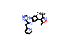 COc1cc2c(cc1-c1c(C)noc1C)nc(Cc1ccccn1)c1nncn12